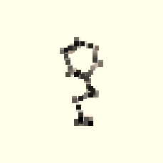 N#C[CH]Oc1ccccc1